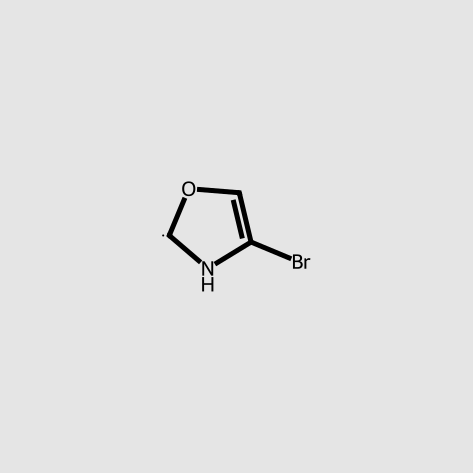 BrC1=CO[CH]N1